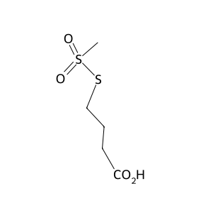 CS(=O)(=O)SCCCC(=O)O